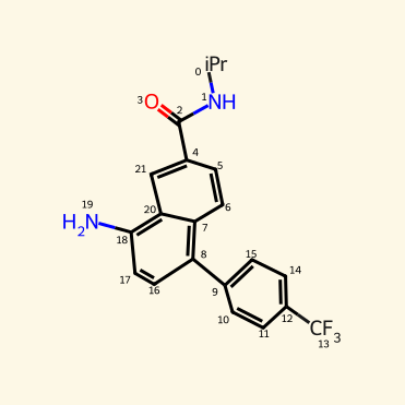 CC(C)NC(=O)c1ccc2c(-c3ccc(C(F)(F)F)cc3)ccc(N)c2c1